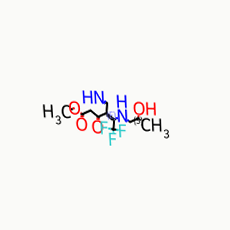 COC(=O)CC(=O)/C(C=N)=C(/NC[C@H](C)O)C(F)(F)F